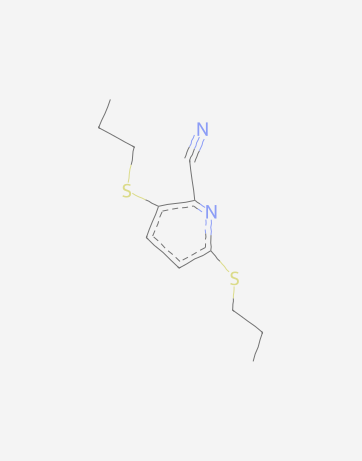 CCCSc1ccc(SCCC)c(C#N)n1